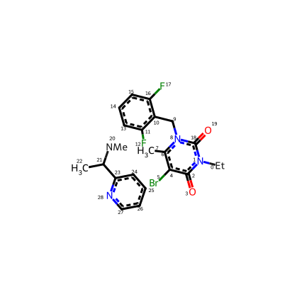 CCn1c(=O)c(Br)c(C)n(Cc2c(F)cccc2F)c1=O.CNC(C)c1ccccn1